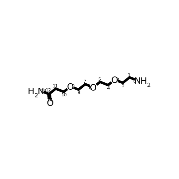 NCCOCCOCCOCCC(N)=O